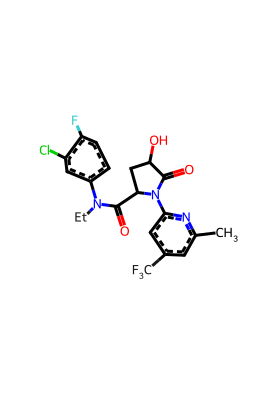 CCN(C(=O)C1CC(O)C(=O)N1c1cc(C(F)(F)F)cc(C)n1)c1ccc(F)c(Cl)c1